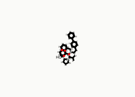 CC(C[C@@H](Cc1ccc(-c2ccccc2)cc1)N(Cc1ccccc1)Cc1ccccc1)C(=O)N1CCC[C@@H]1CO